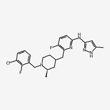 Cc1cc(Nc2ccc(F)c(CC3CCN(Cc4cccc(Cl)c4F)[C@H](C)C3)n2)n[nH]1